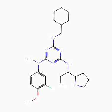 CCC(Nc1nc(NCC2CCCCC2)nc(N(C)c2ccc(OC)c(F)c2)n1)C1CCCN1